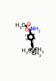 CC(=O)OC(N)c1ccc(C#C[Si](C)(C)C)cc1